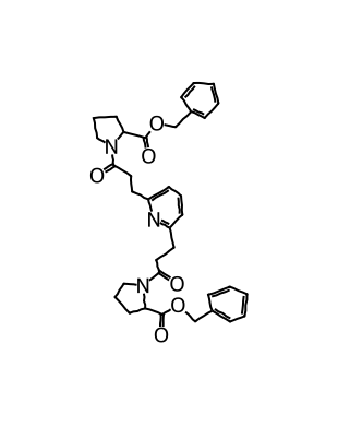 O=C(OCc1ccccc1)C1CCCN1C(=O)CCc1cccc(CCC(=O)N2CCCC2C(=O)OCc2ccccc2)n1